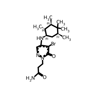 C[C@@H]1[C@@H](C)C(C)(C)[C@@H](C)C[C@H]1Nc1cnn(CCC(N)=O)c(=O)c1Br